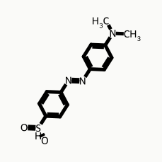 CN(C)c1ccc(N=Nc2ccc([SH](=O)=O)cc2)cc1